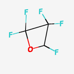 FC1OC(F)(F)C1(F)F